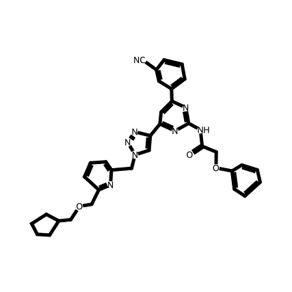 N#Cc1cccc(-c2cc(-c3cn(Cc4cccc(COCC5CCCC5)n4)nn3)nc(NC(=O)COc3ccccc3)n2)c1